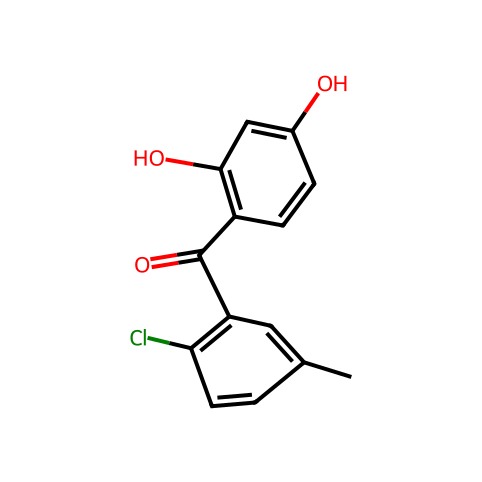 Cc1ccc(Cl)c(C(=O)c2ccc(O)cc2O)c1